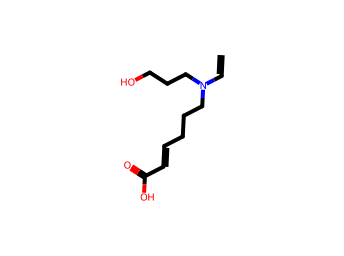 C=CN(CCCO)CCCC=CC(=O)O